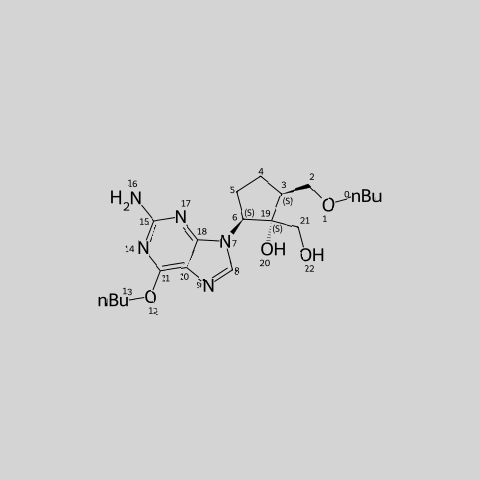 CCCCOC[C@@H]1CC[C@H](n2cnc3c(OCCCC)nc(N)nc32)[C@]1(O)CO